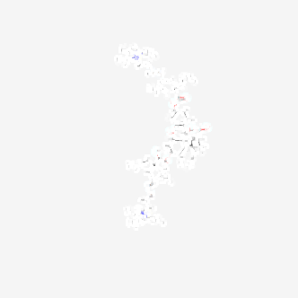 CCC(CC)(CCSSCC[N+](C)(C)C)C(=O)Oc1ccc2c(c1)Oc1cc(OC(=O)C(CC)(CC)CCSSCC[N+](C)(C)C)ccc1C21OC(=O)C2=CCC(C)C=C21